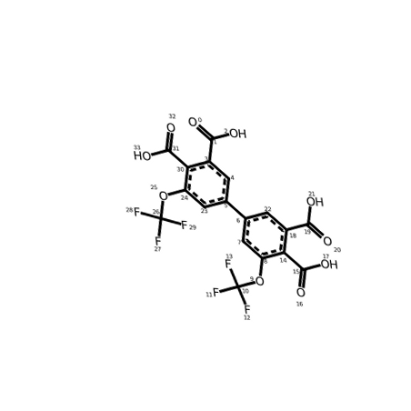 O=C(O)c1cc(-c2cc(OC(F)(F)F)c(C(=O)O)c(C(=O)O)c2)cc(OC(F)(F)F)c1C(=O)O